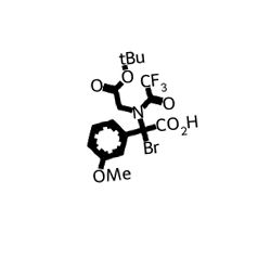 COc1cccc(C(Br)(C(=O)O)N(CC(=O)OC(C)(C)C)C(=O)C(F)(F)F)c1